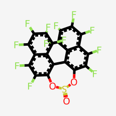 O=S1Oc2c(F)c(F)c3c(F)c(F)c(F)c(F)c3c2-c2c(c(F)c(F)c3c(F)c(F)c(F)c(F)c23)O1